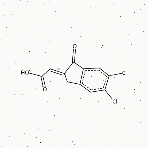 O=C(O)/C=C1\Cc2cc(Cl)c(Cl)cc2C1=O